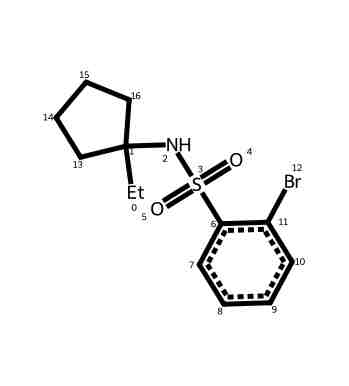 CCC1(NS(=O)(=O)c2ccccc2Br)CCCC1